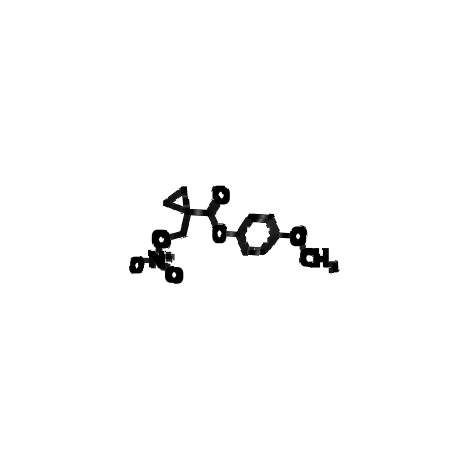 COc1ccc(OC(=O)C2(CO[N+](=O)[O-])CC2)cc1